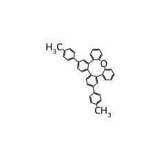 Cc1ccc(-c2ccc3c(c2)c2ccccc2oc2ccccc2c2cc(-c4ccc(C)cc4)ccc23)cc1